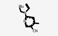 C=CN(CC(C)CC)c1cc(C)c(C#N)cn1